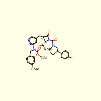 CNC(=O)[C@@H]1[C@@H](Cc2ccnc(N(Cc3ccc(OC)cc3)C(=O)OC(C)(C)C)c2)C(=O)N1C(=O)N1CCCC(c2ccc(F)cc2)C1